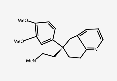 CNCC[C@]1(c2ccc(OC)c(OC)c2)CCc2ncccc2C1